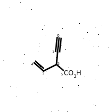 C#CC(C=C)C(=O)O